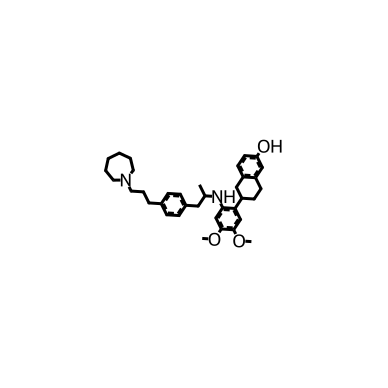 COc1cc(NC(C)Cc2ccc(CCCN3CCCCCC3)cc2)c(C2CCc3cc(O)ccc3C2)cc1OC